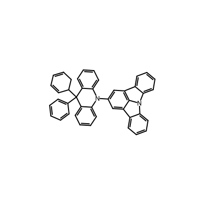 C1=CCC(C2(c3ccccc3)c3ccccc3N(c3cc4c5ccccc5n5c6ccccc6c(c3)c45)c3ccccc32)C=C1